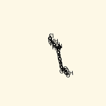 Nc1nccn2c(N3CCC4(CC3)CN(C3CCN(C5CN(c6ccc7c(c6)C(=O)N(C6CCC(=O)NC6=O)C7=O)C5)CC3)C4)nc(-c3ccc(C(=O)NC4=CC(Cl)CC=N4)cc3F)c12